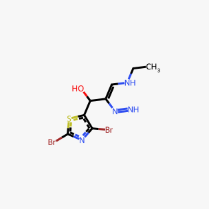 CCN/C=C(\N=N)C(O)c1sc(Br)nc1Br